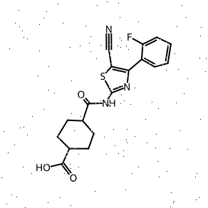 N#Cc1sc(NC(=O)C2CCC(C(=O)O)CC2)nc1-c1ccccc1F